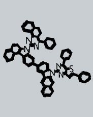 c1ccc(-c2cc3nc(-n4c5ccc(-c6ccc7c8c9ccccc9ccc8n(-c8nc(-c9ccccc9)c9ccc%10ccccc%10c9n8)c7c6)cc5c5cc6ccccc6cc54)nc(-c4ccccc4)c3s2)cc1